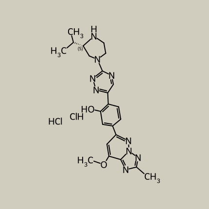 COc1cc(-c2ccc(-c3cnc(N4CCN[C@@H](C(C)C)C4)nn3)c(O)c2)nn2nc(C)nc12.Cl.Cl